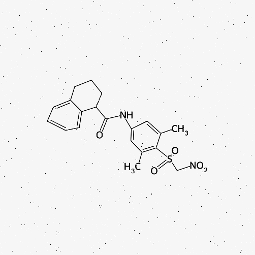 Cc1cc(NC(=O)C2CCCc3ccccc32)cc(C)c1S(=O)(=O)C[N+](=O)[O-]